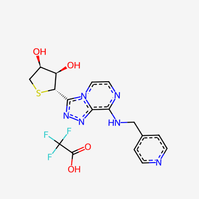 O=C(O)C(F)(F)F.O[C@@H]1[C@H](O)CS[C@H]1c1nnc2c(NCc3ccncc3)nccn12